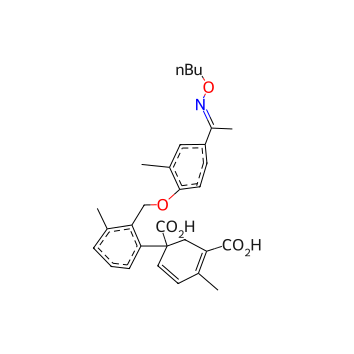 CCCCON=C(C)c1ccc(OCc2c(C)cccc2C2(C(=O)O)C=CC(C)=C(C(=O)O)C2)c(C)c1